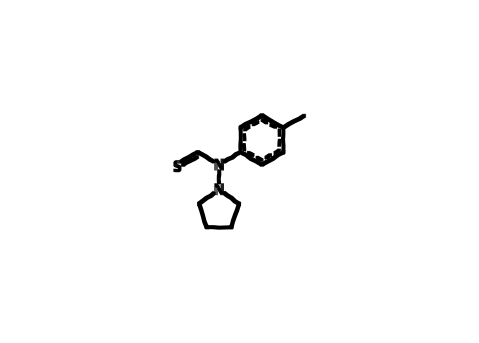 Cc1ccc(N(C=S)N2CCCC2)cc1